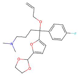 C=CCOC(CCCN(C)C)(c1ccc(F)cc1)c1ccc(C2OCCO2)o1